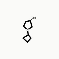 O[C@H]1CCN(C2CCC2)C1